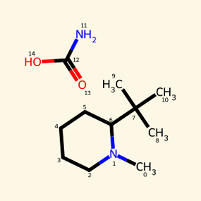 CN1CCCCC1C(C)(C)C.NC(=O)O